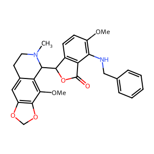 COc1ccc2c(c1NCc1ccccc1)C(=O)OC2C1c2c(cc3c(c2OC)OCO3)CCN1C